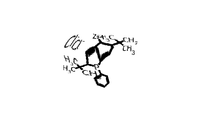 CC(C)(C)C1=[C]([Zr+2])C2=CC(C(C)(C)C)P(c3ccccc3)C2=C1.[Cl-].[Cl-]